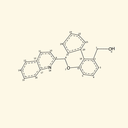 OCc1cccc(OCc2ccc3ccccc3n2)c1-c1ccccc1